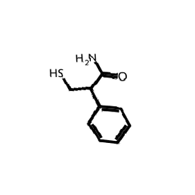 NC(=O)C(CS)c1ccccc1